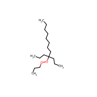 CCCCCCCCC(CCC)(CCC)OOCCC